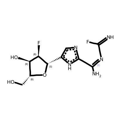 N=C(F)/N=C(/N)c1ncc([C@@H]2O[C@H](CO)[C@@H](O)[C@H]2F)[nH]1